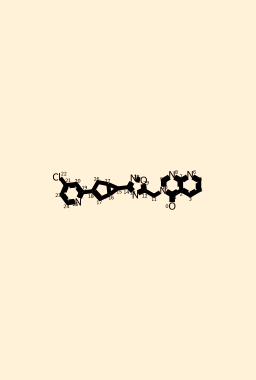 O=c1c2cccnc2ncn1Cc1nc(C2C3C=C(c4cc(Cl)ccn4)CC32)no1